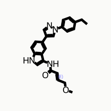 CCc1ccc(-n2cc(-c3ccc4[nH]cc(NC(=O)/C=C/COC)c4c3)cn2)cc1